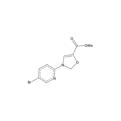 COC(=O)C1=CN(c2ccc(Br)cn2)CO1